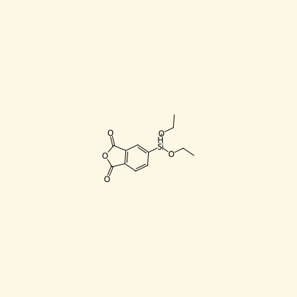 CCO[SiH](OCC)c1ccc2c(c1)C(=O)OC2=O